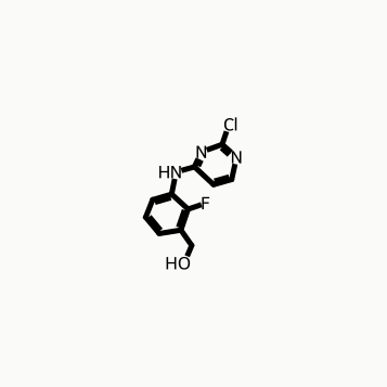 OCc1cccc(Nc2ccnc(Cl)n2)c1F